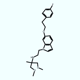 COCC(C)(COC)NCCn1ccc2ccc(OCCc3ccc(F)cc3)cc21